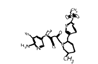 CCc1cc(NC(=O)C(=O)N2CC(C)CCC2c2ccc(S(C)(=O)=O)nc2)cnc1N